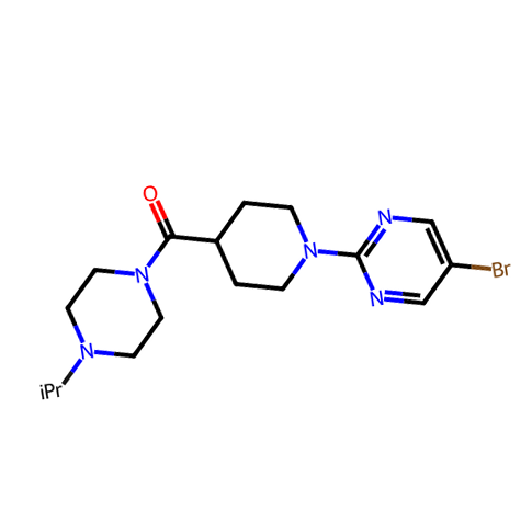 CC(C)N1CCN(C(=O)C2CCN(c3ncc(Br)cn3)CC2)CC1